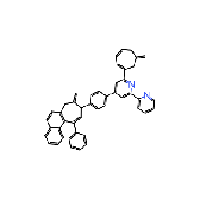 C=C1CC=CC=C(c2cc(-c3ccc(C4C=C(c5ccccc5)c5c(ccc6ccccc56)CC4=C)cc3)cc(-c3ccccn3)n2)C1